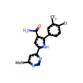 CCc1ccc(-c2[nH]c(-c3cc(NC)ncn3)cc2C(N)=O)cc1C(F)(F)F